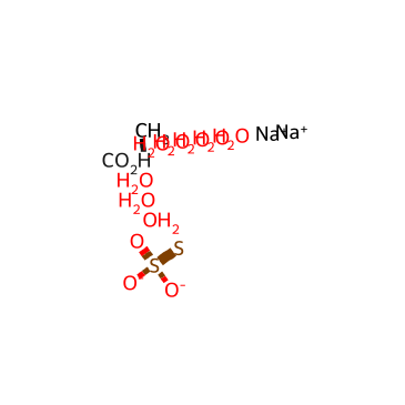 CC(=O)O.O.O.O.O.O.O.O.O.O=S([O-])([O-])=S.[Na+].[Na+]